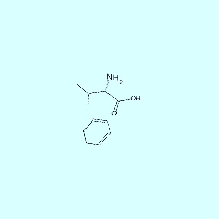 C1=CCCC=C1.CC(C)[C@H](N)C(=O)O